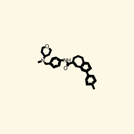 Cc1ccc(-c2ccc3c(c2)C=C(C(=O)Nc2ccc(CN(C)C4CCOCC4)cc2)CCC3)cc1